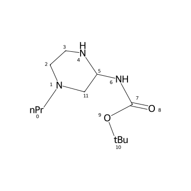 CCCN1CCNC(NC(=O)OC(C)(C)C)C1